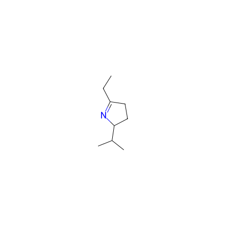 CCC1=NC(C(C)C)CC1